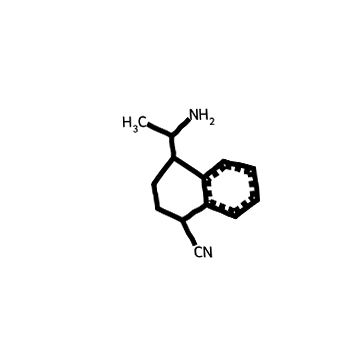 CC(N)C1CCC(C#N)c2ccccc21